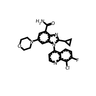 NC(=O)c1cc(N2CCOCC2)cc2c1nc(C1CC1)n2-c1ccnc2c(Cl)c(F)ccc12